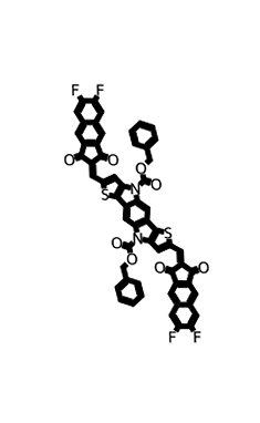 O=C1C(=Cc2cc3c(s2)c2cc4c(cc2n3C(=O)OCc2ccccc2)c2sc(C=C3C(=O)c5cc6cc(F)c(F)cc6cc5C3=O)cc2n4C(=O)OCc2ccccc2)C(=O)c2cc3cc(F)c(F)cc3cc21